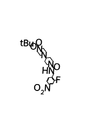 CC(C)(C)OC(=O)N1CCN(C2CCN(C(=O)NCc3ccc([N+](=O)[O-])cc3F)CC2)CC1